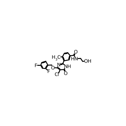 Cc1ccc(C(=O)NCCO)cc1-c1nc(OCc2ccc(F)cc2F)c(Cl)c(=O)[nH]1